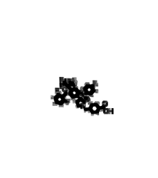 O=C(O)C1CCC(CN2CC[C@](c3ccc(C(OCc4c(F)cccc4F)(C(F)(F)F)C(F)(F)F)cc3)(S(=O)(=O)c3ccc(F)cc3)C2)CC1